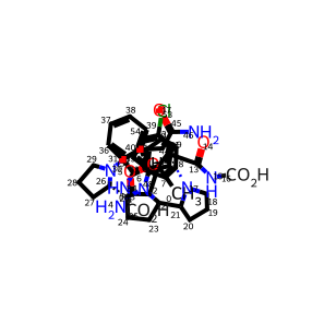 CC1(CC(N)=O)c2ccc(cc2)[C@]1(C(=O)NC(=O)O)N1CCCC1C1CC[C@H](C2CCCN2[C@@]2(C(=O)NC(=O)O)c3ccc(cc3)C2(C)CC(N)=O)N1c1ccc(Cl)cc1